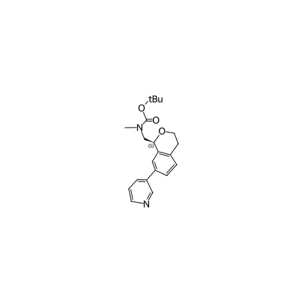 CN(C[C@H]1OCCc2ccc(-c3cccnc3)cc21)C(=O)OC(C)(C)C